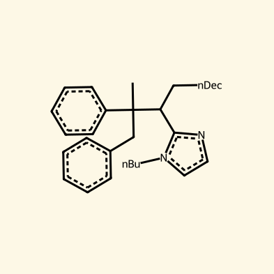 CCCCCCCCCCCC(c1nccn1CCCC)C(C)(Cc1ccccc1)c1ccccc1